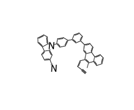 C#C/C=C\c1c(C)c2ccccc2c2ccc(-c3cccc(-c4ccc(-n5c6ccccc6c6ccc(C#N)cc65)cc4)c3)cc12